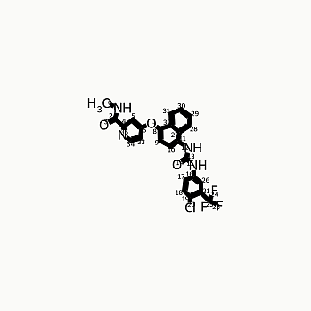 CNC(=O)c1cc(Oc2ccc(NC(=O)Nc3ccc(Cl)c(C(F)(F)F)c3)c3ccccc23)ccn1